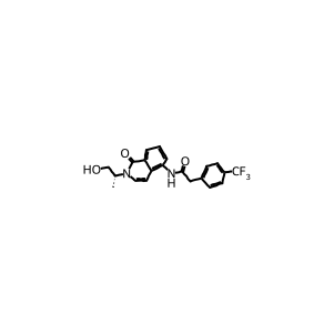 C[C@H](CO)n1ccc2c(NC(=O)Cc3ccc(C(F)(F)F)cc3)cccc2c1=O